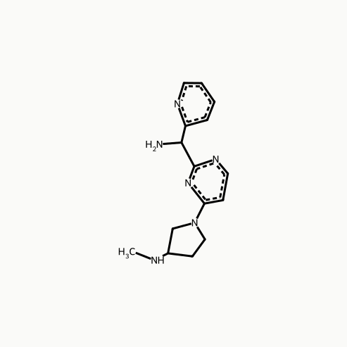 CNC1CCN(c2ccnc(C(N)c3ccccn3)n2)C1